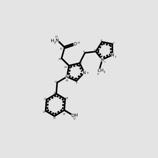 Cn1nccc1Cc1ncn(Cc2cccc(O)c2)c1CC(N)=O